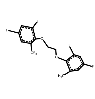 Cc1cc(F)cc(I)c1OCCOc1c(C)cc(F)cc1I